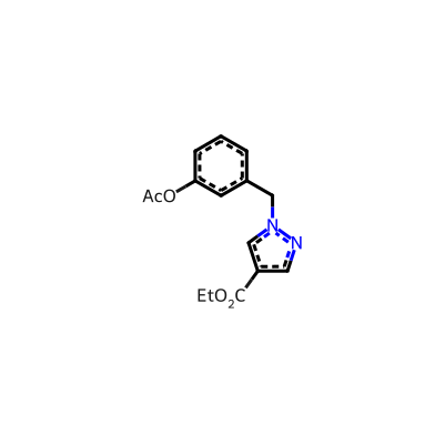 CCOC(=O)c1cnn(Cc2cccc(OC(C)=O)c2)c1